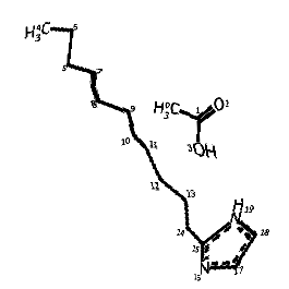 CC(=O)O.CCCCCCCCCCCc1ncc[nH]1